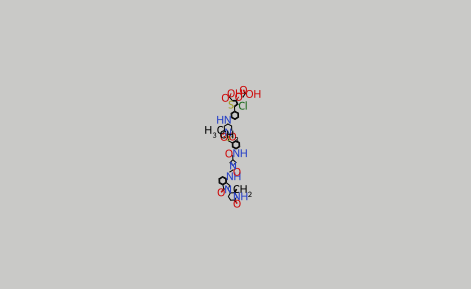 C=C1NC(=O)CCC1N1Cc2c(NCC(=O)N3CC(C(=O)Nc4cccc(CS(=O)(=O)N5CC[C@H](Nc6cccc(-c7sc(C(=O)O)c(OCC(=O)O)c7Cl)c6)CC5(C)C)c4)C3)cccc2C1=O